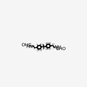 CC(C)(c1ccc(CCNC=O)cc1)c1ccc(CCNC=O)cc1